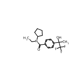 CCN(C(=O)c1ccc(C(C)(O)C(F)(F)F)cc1)C1CCCC1